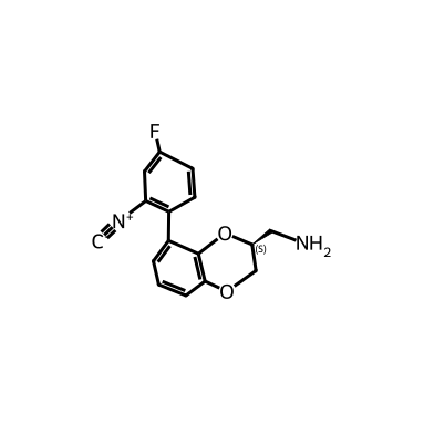 [C-]#[N+]c1cc(F)ccc1-c1cccc2c1O[C@@H](CN)CO2